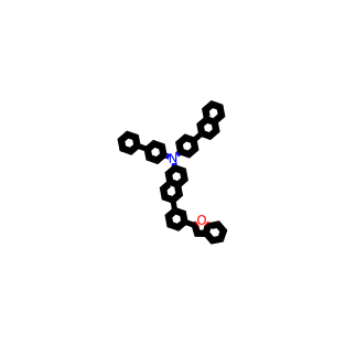 c1ccc(-c2ccc(N(c3ccc(-c4ccc5ccccc5c4)cc3)c3ccc4cc(-c5cccc(-c6cc7ccccc7o6)c5)ccc4c3)cc2)cc1